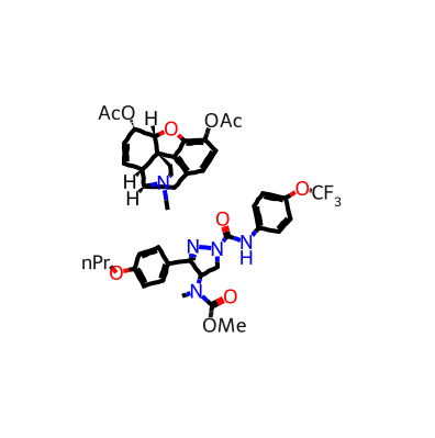 CC(=O)Oc1ccc2c3c1O[C@H]1[C@@H](OC(C)=O)C=C[C@H]4[C@@H](C2)N(C)CC[C@@]341.CCCOc1ccc(C2=NN(C(=O)Nc3ccc(OC(F)(F)F)cc3)CC2N(C)C(=O)OC)cc1